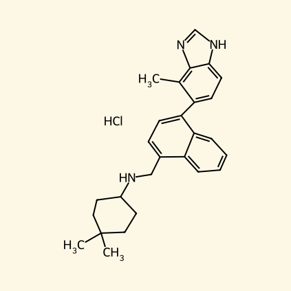 Cc1c(-c2ccc(CNC3CCC(C)(C)CC3)c3ccccc23)ccc2[nH]cnc12.Cl